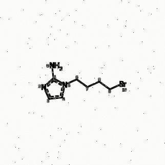 Nc1nccn1CCCCBr